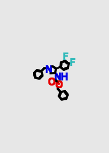 O=C(N[C@@H]1CN(Cc2ccccc2)C[C@H]1c1ccc(F)c(F)c1)OCc1ccccc1